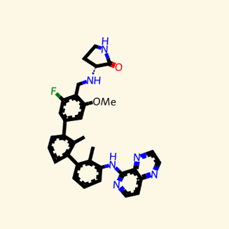 COc1cc(-c2cccc(-c3cccc(Nc4nccc5nccnc45)c3C)c2C)cc(F)c1CN[C@@H]1CCNC1=O